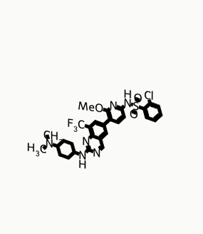 COc1nc(NS(=O)(=O)c2ccccc2Cl)ccc1-c1cc(C(F)(F)F)c2nc(NC3CCC(N(C)C)CC3)ncc2c1